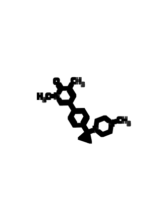 Cc1cc(-c2ccc(C3(N4CCN(C)CC4)CC3)cc2)cn(C)c1=O